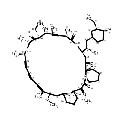 CO[C@@H]1C[C@@H]2CC[C@@H](C)[C@@](O)(O2)C(=O)C(=O)N2CCCC[C@H]2C(=O)C[C@H]([C@H](C)C[C@@H]2CC[C@@H](O)[C@H](CO)C2)CC(=O)[C@H](C)/C=C(\C)[C@@H](O)[C@@H](CO)C(=O)[C@@H](C)C[C@H](C)/C=C/C=C/C=C/1C